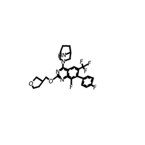 Fc1ccc(-c2c(C(F)(F)F)cc3c(N4CC5CCC(C4)N5)nc(OCC4CCOC4)nc3c2F)cc1